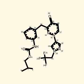 CC(C)COC(=O)Nc1cccc(Cc2nn(-c3cnn(CC(F)(F)F)c3)ccc2=O)c1